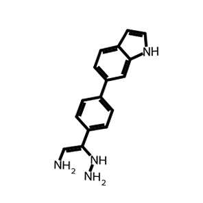 N/C=C(\NN)c1ccc(-c2ccc3cc[nH]c3c2)cc1